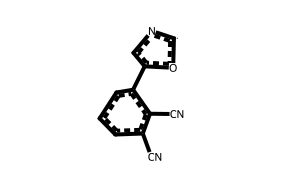 N#Cc1cccc(-c2cn[c]o2)c1C#N